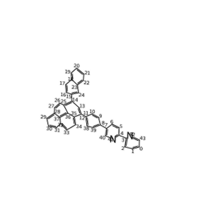 c1ccc(-c2ccc(-c3ccc(-c4cc(-c5ccc6ccccc6c5)c5ccc6cccc7ccc4c5c76)cc3)cn2)nc1